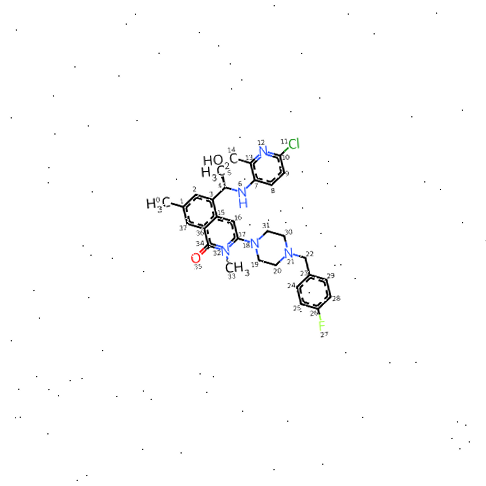 Cc1cc([C@@H](C)Nc2ccc(Cl)nc2C(=O)O)c2cc(N3CCN(Cc4ccc(F)cc4)CC3)n(C)c(=O)c2c1